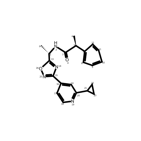 C[C@H](NC(=O)[C@@H](C)c1ccccc1)c1nc(-c2ccnc(C3CC3)c2)no1